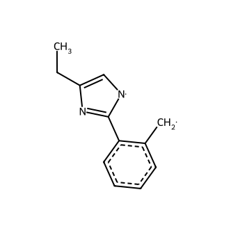 [CH2]c1ccccc1C1=NC(CC)=C[N]1